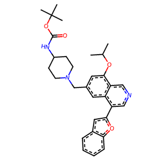 CC(C)Oc1cc(CN2CCC(NC(=O)OC(C)(C)C)CC2)cc2c(-c3cc4ccccc4o3)cncc12